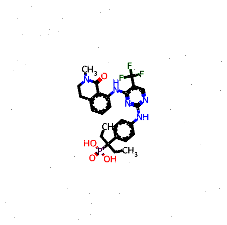 CCC(CC)(c1ccc(Nc2ncc(C(F)(F)F)c(Nc3cccc4c3C(=O)N(C)CC4)n2)cc1)P(=O)(O)O